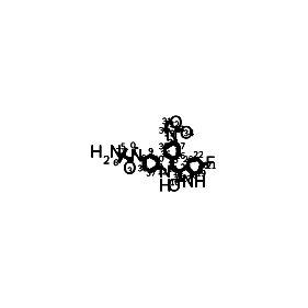 CN(C(=O)C(C)(C)N)c1ccc(N/C(=C2\C(=O)Nc3cc(F)ccc32)c2ccc(N3CCOC3=O)cc2)cc1